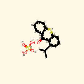 CC(C)c1cccc2sc3ccccc3c(=O)c12.O=S(=O)(O)O